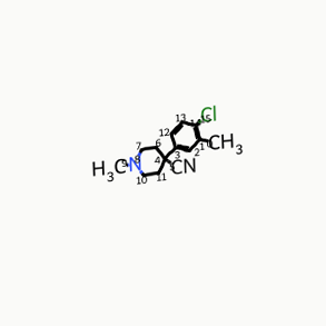 Cc1cc(C2(C#N)CCN(C)CC2)ccc1Cl